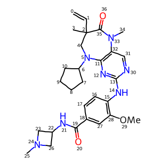 C=CC1(C)CN(C2CCCC2)c2nc(Nc3ccc(C(=O)NC4CN(C)C4)cc3OC)ncc2N(C)C1=O